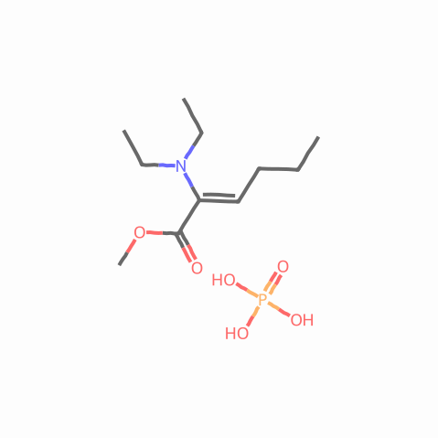 CCCC=C(C(=O)OC)N(CC)CC.O=P(O)(O)O